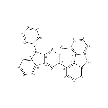 Brc1cccc2oc3cccc(-c4ccc5c(c4)c4ccccc4n5-c4ccccc4)c3c12